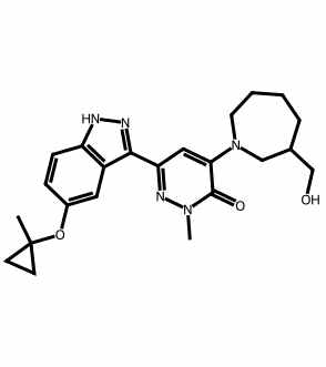 Cn1nc(-c2n[nH]c3ccc(OC4(C)CC4)cc23)cc(N2CCCCC(CO)C2)c1=O